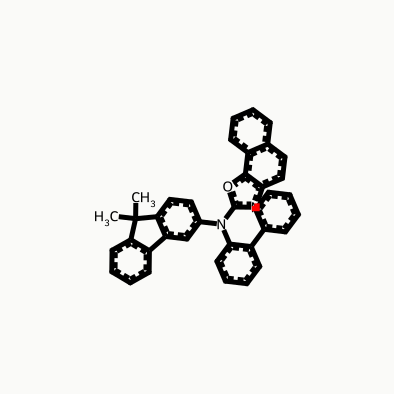 CC1(C)c2ccccc2-c2cc(N(c3nc4ccc5ccccc5c4o3)c3ccccc3-c3ccccc3)ccc21